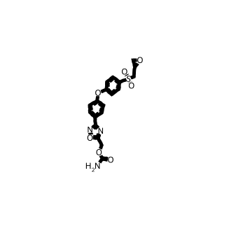 NC(=O)OCc1nc(-c2ccc(Oc3ccc(S(=O)(=O)CC4CO4)cc3)cc2)no1